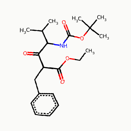 CCOC(=O)C(Cc1ccccc1)C(=O)C(NC(=O)OC(C)(C)C)C(C)C